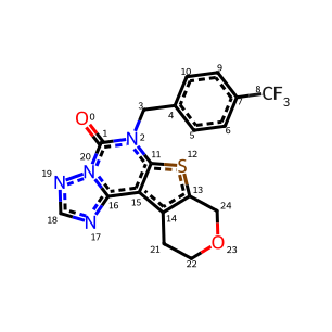 O=c1n(Cc2ccc(C(F)(F)F)cc2)c2sc3c(c2c2ncnn12)CCOC3